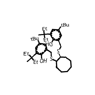 CCC(C)(CC)c1cc(C(C)(C)C)cc(CSC2CCCCCC[C@@H]2SCc2cc(C(C)(C)C)cc(C(C)(CC)CC)c2O)c1O